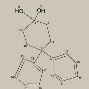 OC1(O)CCC(c2[c]cccc2)(c2[c]cccc2)CC1